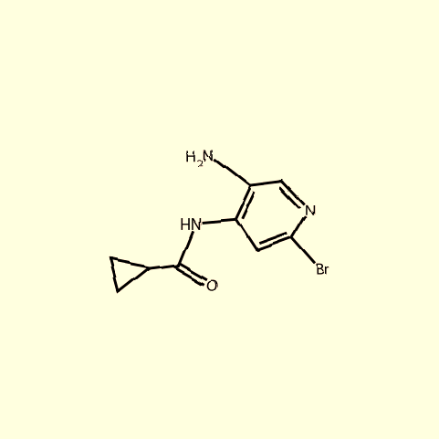 Nc1cnc(Br)cc1NC(=O)C1CC1